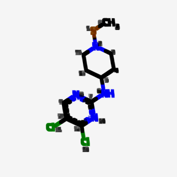 CSN1CCC(Nc2ncc(Cl)c(Cl)n2)CC1